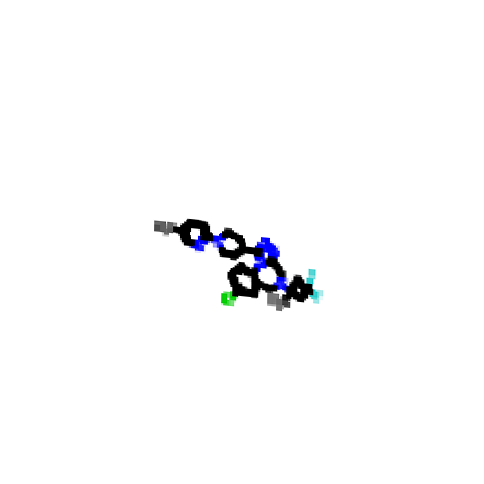 Cc1ccc(N2CCC(c3nnc4n3-c3ccc(Cl)cc3CN(C3(C)CC(F)(F)C3)C4)CC2)nc1